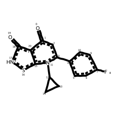 O=c1cc(-c2ccc(F)cc2)n(C2CC2)c2s[nH]c(=O)c12